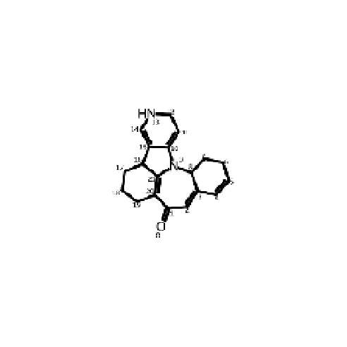 O=C1C=C2C=CCCC2N2C3=CCNC=C3C3CCCC1=C32